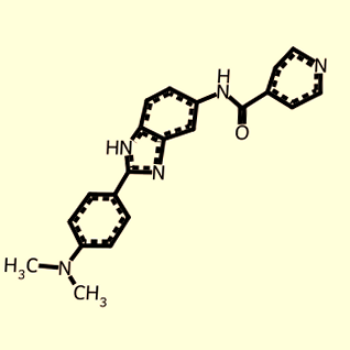 CN(C)c1ccc(-c2nc3cc(NC(=O)c4ccncc4)ccc3[nH]2)cc1